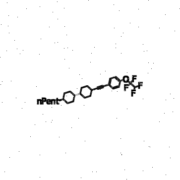 CCCCC[C@H]1CC[C@H](C2CCC(C#Cc3ccc(OC(F)(F)C(F)F)cc3)CC2)CC1